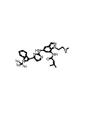 [2H]C([2H])([2H])n1cc(-c2ccnc(Nc3cc(NC(=O)C=C(C)C)c4c(cnn4CCN(C)C)c3)n2)c2ccccc21